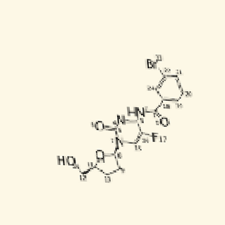 O=C(Nc1nc(=O)n([C@H]2CC[C@@H](CO)O2)cc1F)c1cccc(Br)c1